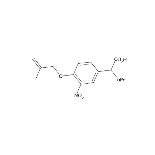 C=C(C)COc1ccc(C(CCC)C(=O)O)cc1[N+](=O)[O-]